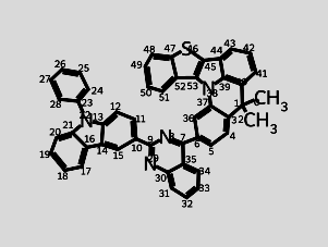 CC1(C)c2ccc(-c3nc(-c4ccc5c(c4)c4ccccc4n5-c4ccccc4)nc4ccccc34)cc2-n2c3c1cccc3c1sc3ccccc3c12